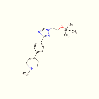 CC(C)(C)[Si](C)(C)OCCn1cnc(-c2ccc(C3=CCN(C(=O)O)CC3)cc2)n1